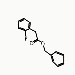 O=C(Cc1ccccc1F)OCc1ccccc1